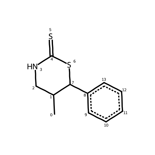 CC1CNC(=S)SC1c1ccccc1